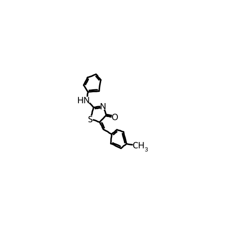 Cc1ccc(C=C2SC(Nc3ccccc3)=NC2=O)cc1